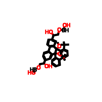 COC1(c2ccccc2C(C)(C)C)c2cc(C(O)COBO)ccc2-c2ccc(C(O)COBO)cc2C1(OC)c1ccccc1C(C)(C)C